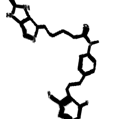 CN(C(=O)CCCCC1SCC2NC(=O)NC21)c1ccc(C=Cc2c(F)cccc2F)cc1